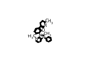 CC1=Nc2oc3c(N4c5ncccc5N(c5ccccc5)[C@@H]4C)c(C)ccc3c2CC1